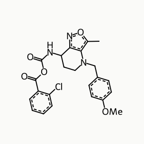 COc1ccc(CN2CCC(NC(=O)OC(=O)c3ccccc3Cl)c3noc(C)c32)cc1